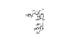 CCCc1c(OCCCOc2ccc3c(c2CCC)OC(C)(CCC(=O)O)CC3=O)ccc(C(C)=O)c1O